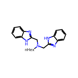 CCCCCCN(Cc1nc2ccccc2[nH]1)Cc1nc2ccccc2[nH]1